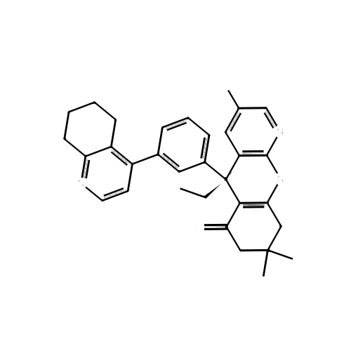 CC[C@]1(c2cccc(-c3ccnc4c3CCCC4)c2)C2=C(CC(C)(C)CC2=O)Nc2ncc(F)cc21